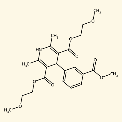 COCCOC(=O)C1=C(C)NC(C)=C(C(=O)OCCOC)C1c1cccc(C(=O)OC)c1